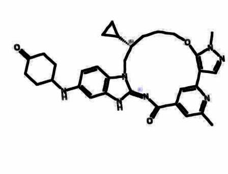 Cc1cc2cc(n1)-c1cnn(C)c1OCCC[C@@H](C1CC1)CN1/C(=N/C2=O)Nc2cc(NC3CCC(=O)CC3)ccc21